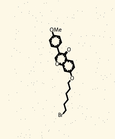 COc1ccc(-c2coc3cc(OCCCCCCBr)ccc3c2=O)cc1